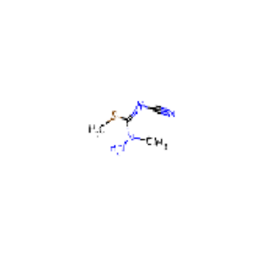 CSC(=NC#N)N(C)N